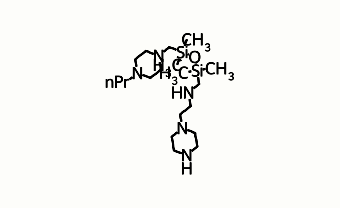 CCCN1CCN(C[Si](C)(C)O[Si](C)(C)CNCCN2CCNCC2)CC1